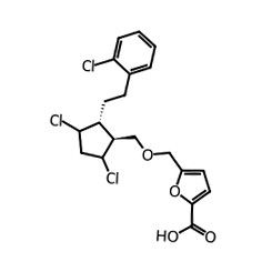 O=C(O)c1ccc(COC[C@H]2C(Cl)CC(Cl)[C@@H]2CCc2ccccc2Cl)o1